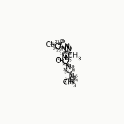 CCc1nccn1C1CCN(c2cnn(Cc3c(C)nnn3-c3ccc(Cl)cc3F)c(=O)c2)CC1